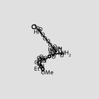 CCc1c2c(nc3ccc(OC)cc13)C1CC3=C(COC(=O)[C@@]3(CC)OC(=O)OCc3ccc(NC(=O)[C@H](CCCNC(N)=O)NC(=O)[C@@H](NC(=O)CCOCCOCCOCCOCCNC(=O)COC4C#CCCCCC4)C(C)C)cc3)C(=O)N1C2